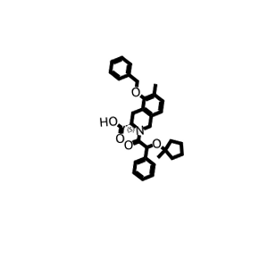 Cc1ccc2c(c1OCc1ccccc1)C[C@@H](C(=O)O)N(C(=O)C(OC1(C)CCCC1)c1ccccc1)C2